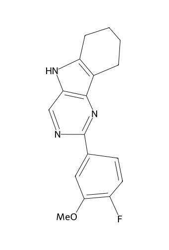 COc1cc(-c2ncc3[nH]c4c(c3n2)CCCC4)ccc1F